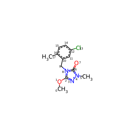 COc1nn(C)c(=O)n1Cc1cc(Cl)ccc1C